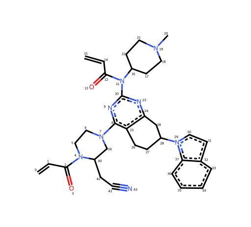 C=CC(=O)N1CCN(c2nc(N(C(=O)C=C)C3CCN(C)CC3)nc3c2CCC(n2ccc4ccccc42)C3)CC1CC#N